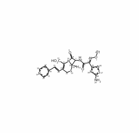 CCON=C(C(=O)NC1C(=O)N2C(C(=O)O)=C(C=Cc3ccncc3)CS[C@@H]12)c1nsc(N)n1